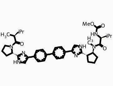 COC(=O)N[C@H](C(=O)N(C)[C@H]1CCC[C@@H]1c1nc(-c2ccc(-c3ccc(-c4c[nH]c([C@@H]5CCCN5C(=O)[C@@H](C)C(C)C)n4)cc3)cc2)c[nH]1)C(C)C